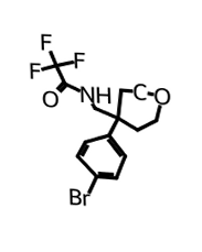 O=C(NCC1(c2ccc(Br)cc2)CCOCC1)C(F)(F)F